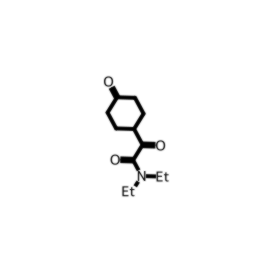 CCN(CC)C(=O)C(=O)C1CCC(=O)CC1